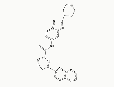 O=C(Nc1ccc2nc(N3CCOCC3)oc2c1)c1cccc(-c2ccc3ncccc3c2)n1